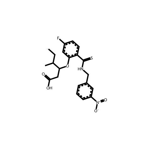 [CH2]CC(C)C(CC(=O)O)Oc1cc(F)ccc1C(=S)NCc1cccc([N+](=O)[O-])c1